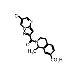 CC1c2cc(C(=O)O)ccc2CCN1C(=O)c1cc2ncc(Cl)cn2n1